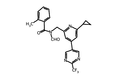 Cc1ccccc1C(=O)N(C=O)Cc1cc(-c2cnc(C(F)(F)F)nc2)cc(C2CC2)n1